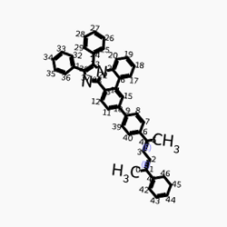 C/C(=C\C=C(/C)c1ccc(-c2ccc3c(c2)c2ccccc2n2c(-c4ccccc4)c(-c4ccccc4)nc32)cc1)C1=CC=CCC1